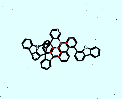 c1cc(-c2cccc3c2oc2ccccc23)cc(N(c2ccc3c(c2)C2(c4ccccc4-3)c3ccccc3-n3c4ccccc4c4cccc2c43)c2ccccc2-c2ccccc2-c2cccc3ccccc23)c1